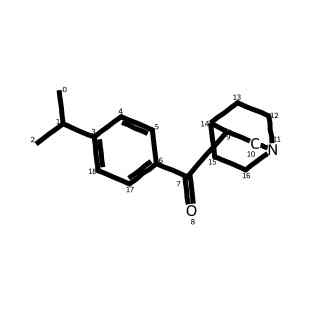 CC(C)c1ccc(C(=O)C2CN3CCC2CC3)cc1